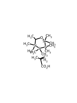 C=C(C)C(=O)O.CC1O[Si](C)(C)[Si](C)(C)[Si](C)(C)[Si]1(C)C